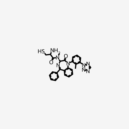 Cc1c(N2C(=O)C(N(C)C(=O)C(N)CS)N=C(c3ccccc3)c3ccccc32)cccc1-n1ncnn1